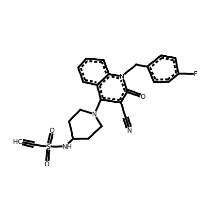 C#CS(=O)(=O)NC1CCN(c2c(C#N)c(=O)n(Cc3ccc(F)cc3)c3ccccc23)CC1